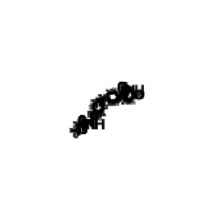 CC(C)(C)OC(=O)NC1CC2(CCN(C[C@H]3CC[C@H](n4ccc(=O)[nH]c4=O)CC3)CC2)C1